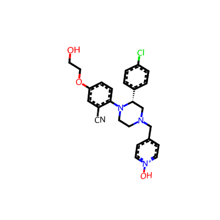 N#Cc1cc(OCCO)ccc1N1CCN(Cc2cc[n+](O)cc2)C[C@H]1c1ccc(Cl)cc1